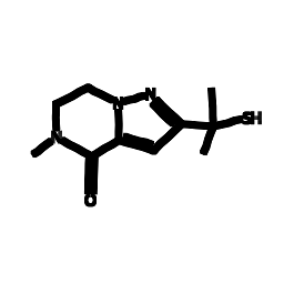 CN1CCn2nc(C(C)(C)S)cc2C1=O